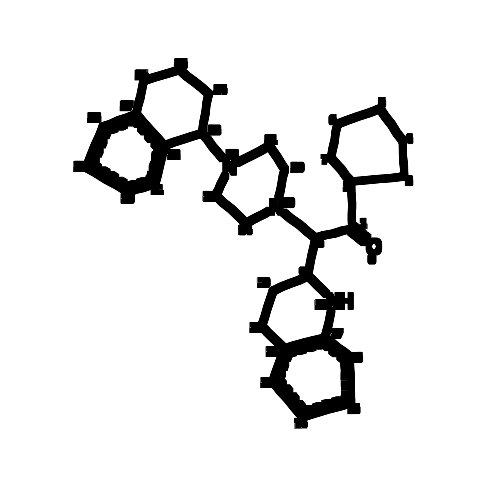 O=C(C1CCCCC1)C(C1CCc2ccccc2N1)N1CCN(C2CCCc3ccccc32)CC1